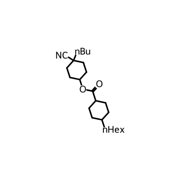 CCCCCCC1CCC(C(=O)OC2CCC(C#N)(CCCC)CC2)CC1